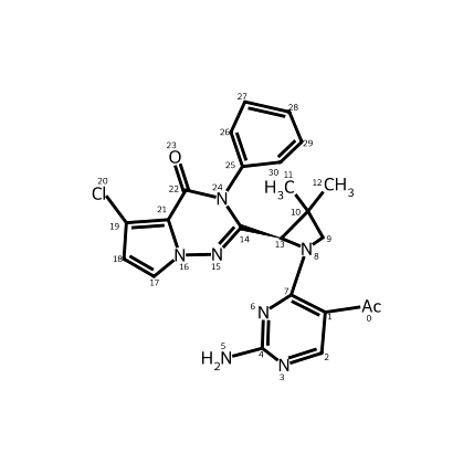 CC(=O)c1cnc(N)nc1N1CC(C)(C)[C@@H]1c1nn2ccc(Cl)c2c(=O)n1-c1ccccc1